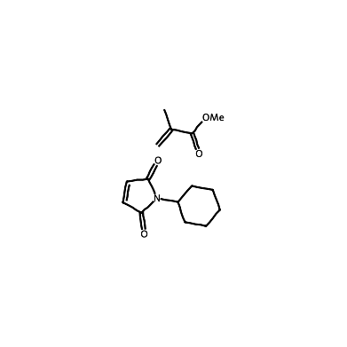 C=C(C)C(=O)OC.O=C1C=CC(=O)N1C1CCCCC1